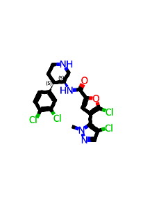 Cn1ncc(Cl)c1-c1cc(C(=O)N[C@@H]2CNCC[C@H]2c2ccc(Cl)c(Cl)c2)oc1Cl